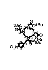 CC(C)(C)OC(=O)CN1CCN(CC(=O)OC(C)(C)C)CCN(C(CCc2ccc([N+](=O)[O-])cc2)C(=O)OC(C)(C)C)CCN(CC(=O)OC(C)(C)C)CC1